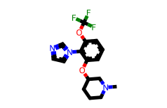 CN1CCCC(Oc2cccc(OC(F)(F)F)c2-n2ccnc2)C1